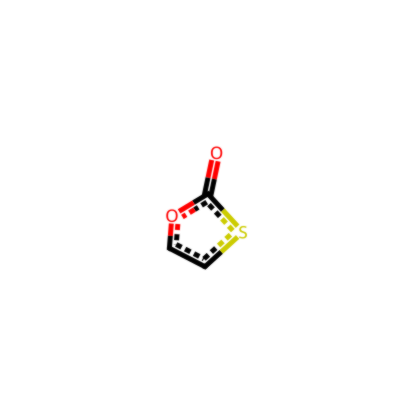 O=c1occs1